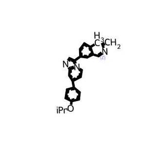 C=C/N=C\c1cc(-c2cnc3cc(-c4ccc(OC(C)C)cc4)ccn23)ccc1C